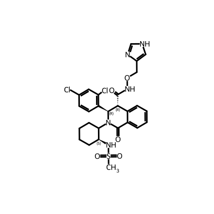 CS(=O)(=O)N[C@H]1CCCCC1N1C(=O)c2ccccc2[C@@H](C(=O)NOCc2c[nH]cn2)[C@@H]1c1ccc(Cl)cc1Cl